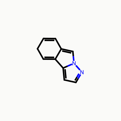 C1=Cc2cn3nccc3c2=CC1